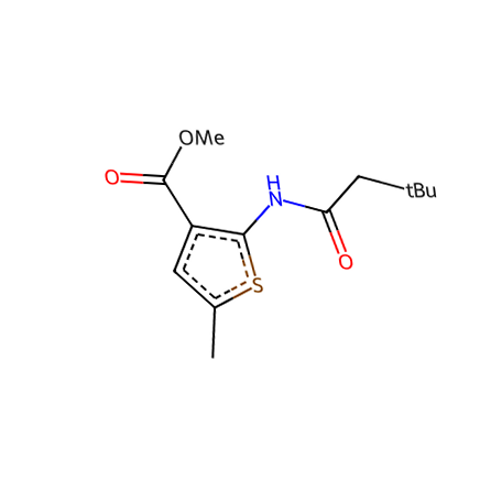 COC(=O)c1cc(C)sc1NC(=O)CC(C)(C)C